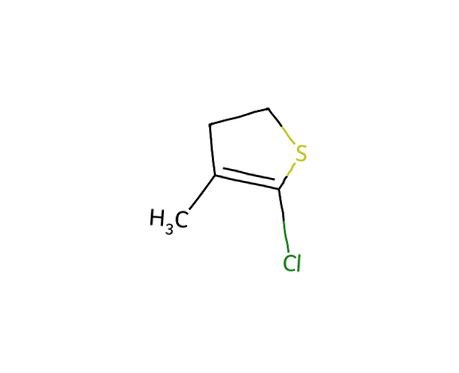 CC1=C(Cl)SCC1